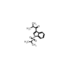 CC(C)C(=O)c1cn(S(=O)(=O)C(C)C)c2ccccc12